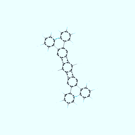 CCCCCCCCc1c2c3cc(-c4c(F)c(F)c(F)c(F)c4F)c(-c4c(F)c(F)c(F)c(F)c4F)cc3c2c(CCCCCCCC)c2c3cc(-c4c(F)c(F)c(F)c(F)c4F)c(-c4c(F)c(F)c(F)c(F)c4F)cc3c12